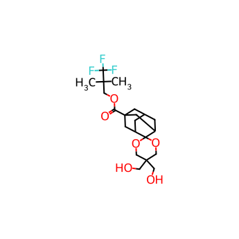 CC(C)(COC(=O)C12CC3CC(C1)C1(OCC(CO)(CO)CO1)C(C3)C2)C(F)(F)F